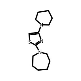 c1sc(N2CCCCCC2)nc1N1CCCCC1